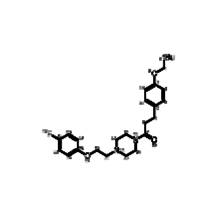 CC(C)(C)COc1ccc(CCC(=O)N2CCN(CCOc3ccc(F)cc3)CC2)cc1